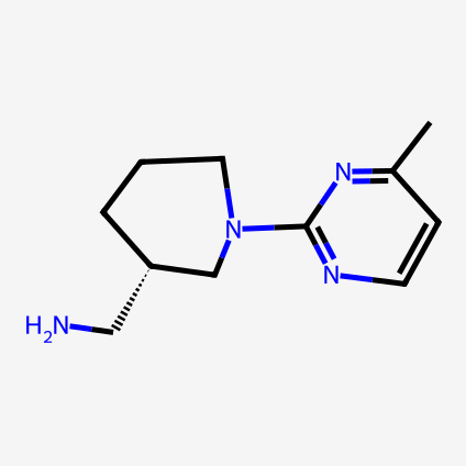 Cc1ccnc(N2CCC[C@@H](CN)C2)n1